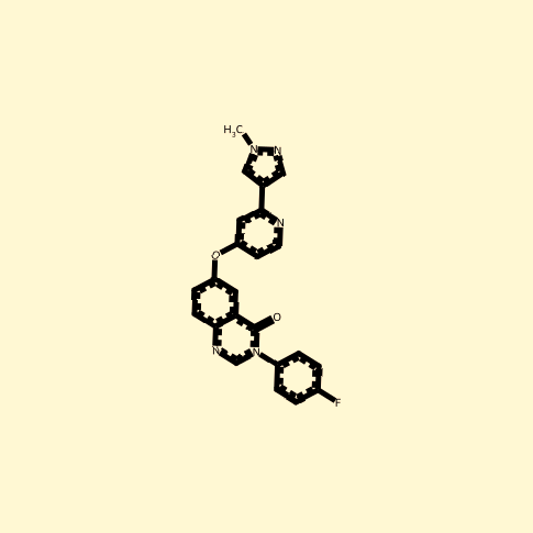 Cn1cc(-c2cc(Oc3ccc4ncn(-c5ccc(F)cc5)c(=O)c4c3)ccn2)cn1